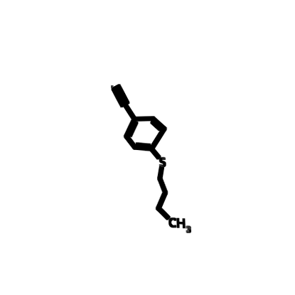 [C]#Cc1ccc(SCCCC)cc1